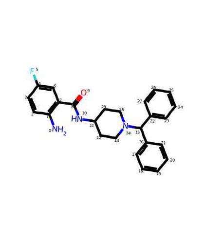 Nc1ccc(F)cc1C(=O)NC1CCN(C(c2ccccc2)c2ccccc2)CC1